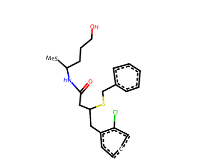 CSC(CCCO)NC(=O)CC(Cc1ccccc1Cl)SCc1ccccc1